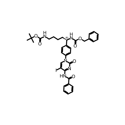 CC(C)(C)OC(=O)NCCCC[C@@H](NC(=O)OCc1ccccc1)c1ccc(-n2cc(I)c(NC(=O)c3ccccc3)nc2=O)cc1